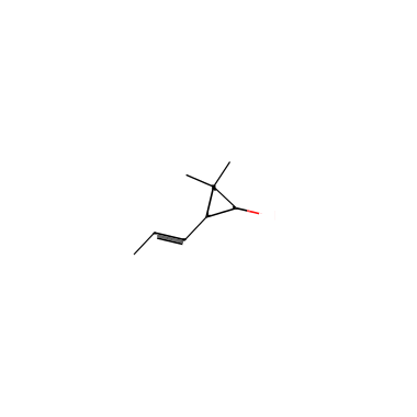 CC=CC1C(O)C1(C)C